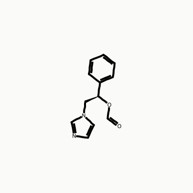 O=CO[C@@H](Cn1ccnc1)c1ccccc1